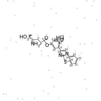 Cl.NC(CCC(=O)Oc1cccc(-c2cn3c(n2)sc2ccccc23)c1)C(=O)O.O